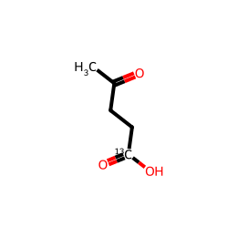 CC(=O)CC[13C](=O)O